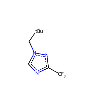 CC(C)(C)Cn1cnc(C(F)(F)F)n1